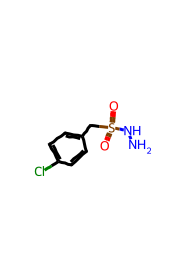 NNS(=O)(=O)Cc1ccc(Cl)cc1